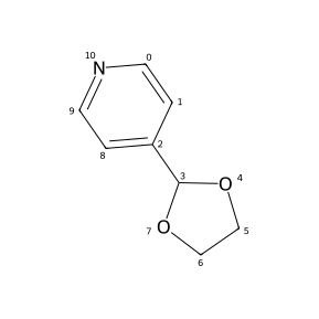 c1cc(C2OCCO2)ccn1